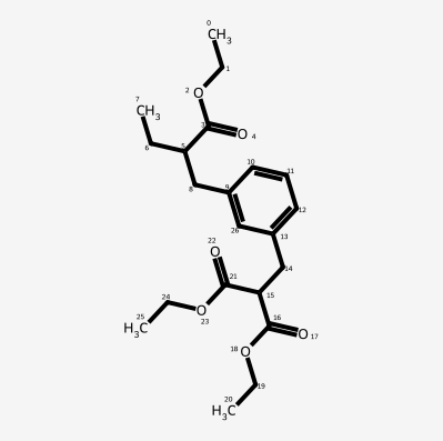 CCOC(=O)C(CC)Cc1cccc(CC(C(=O)OCC)C(=O)OCC)c1